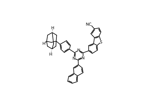 N#Cc1ccc2sc3ccc(-c4nc(-c5ccc(C67C[C@H]8C[C@@H](C6)C[C@@H](C7)C8)cc5)nc(-c5ccc6ccccc6c5)n4)cc3c2c1